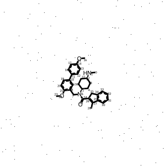 CN[C@H]1CC[C@@H](N(Cc2cc(-c3ccc(OC)cc3)ccc2OC)C(=O)C2=C(C)c3ccccc3C2)CC1